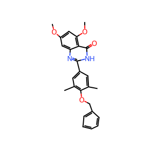 COc1cc(OC)c2c(=O)[nH]c(-c3cc(C)c(OCc4ccccc4)c(C)c3)nc2c1